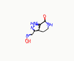 O=C1NCCc2c(C=NO)n[nH]c21